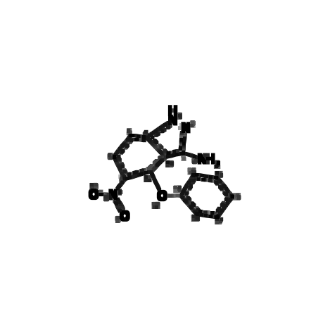 Nc1n[nH]c2ccc([N+](=O)[O-])c(Oc3ccccc3)c12